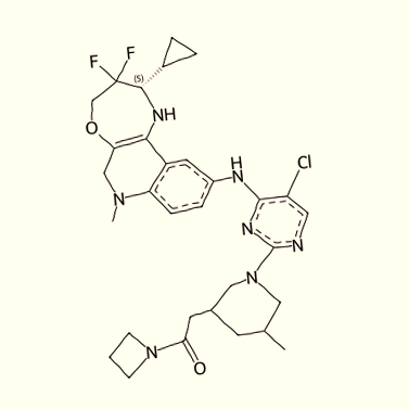 CC1CC(CC(=O)N2CCC2)CN(c2ncc(Cl)c(Nc3ccc4c(c3)C3=C(CN4C)OCC(F)(F)[C@H](C4CC4)N3)n2)C1